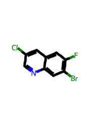 Fc1cc2cc(Cl)cnc2cc1Br